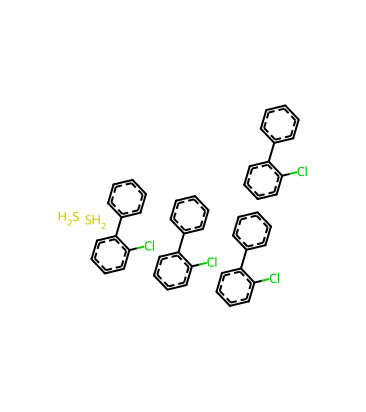 Clc1ccccc1-c1ccccc1.Clc1ccccc1-c1ccccc1.Clc1ccccc1-c1ccccc1.Clc1ccccc1-c1ccccc1.S.S